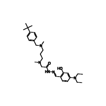 CCN(CC)c1ccc(/C=N/NC(=O)CN(C)CCCN(C)Cc2ccc(C(C)(C)C)cc2)c(O)c1